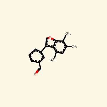 Cc1cc(C)c2c(-c3cccc(C=O)c3)coc2c1C